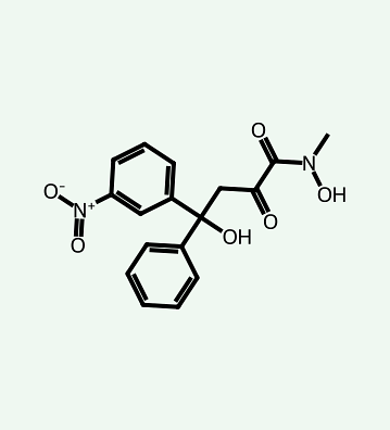 CN(O)C(=O)C(=O)CC(O)(c1ccccc1)c1cccc([N+](=O)[O-])c1